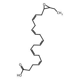 CCC1OC1C/C=C\C/C=C\C/C=C\C/C=C\C/C=C\CCC(=O)O